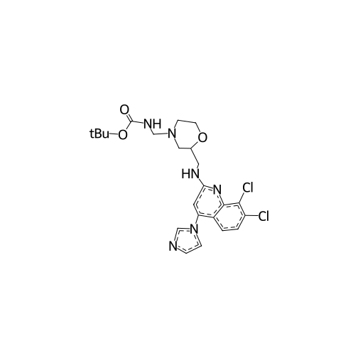 CC(C)(C)OC(=O)NCN1CCOC(CNc2cc(-n3ccnc3)c3ccc(Cl)c(Cl)c3n2)C1